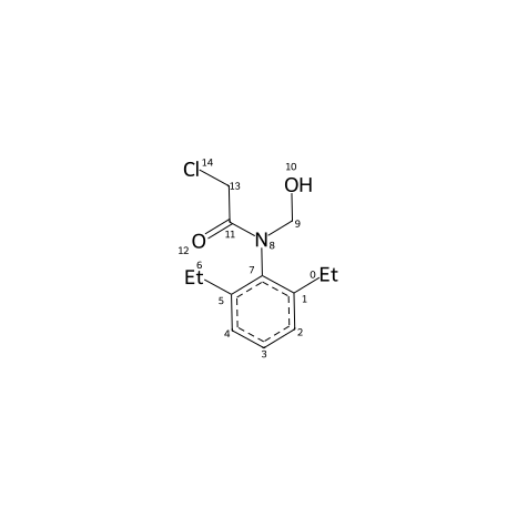 CCc1cccc(CC)c1N(CO)C(=O)CCl